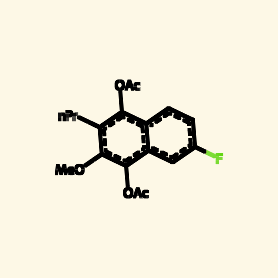 CCCc1c(OC)c(OC(C)=O)c2cc(F)ccc2c1OC(C)=O